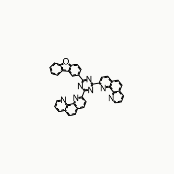 c1cnc2c(c1)ccc1ccc(-c3nc(-c4ccc5oc6ccccc6c5c4)nc(-c4ccc5ccc6cccnc6c5n4)n3)nc12